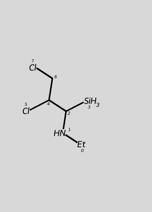 CCNC([SiH3])C(Cl)CCl